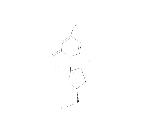 CC[C@@]1(n2ccc(N)nc2=O)O[C@H](CO)[C@@H](O)[C@H]1O